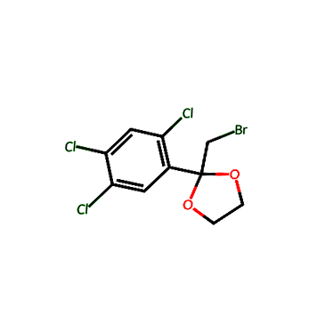 Clc1cc(Cl)c(C2(CBr)OCCO2)cc1Cl